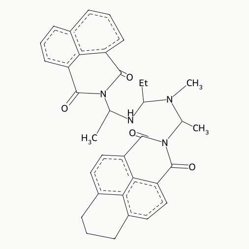 CCC(NC(C)N1C(=O)c2cccc3cccc(c23)C1=O)N(C)C(C)N1C(=O)c2ccc3c4c(ccc(c24)C1=O)CCC3